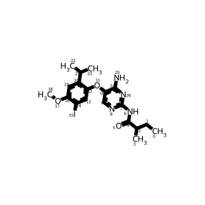 CCC(C)C(=O)Nc1ncc(Oc2cc(I)c(OC)cc2C(C)C)c(N)n1